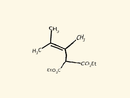 CCOC(=O)C(C(=O)OCC)C(C)=C(C)C